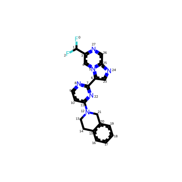 FC(F)c1cn2c(-c3nccc(N4CCc5ccccc5C4)n3)cnc2cn1